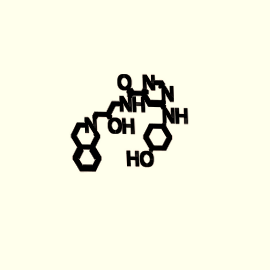 O=C(NCC(O)CN1CCc2ccccc2C1)c1cc(N[C@H]2CC[C@@H](O)CC2)ncn1